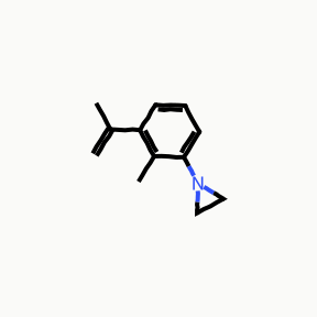 C=C(C)c1cccc(N2CC2)c1C